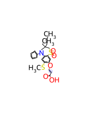 CCCCC1(CC)CN(c2ccccc2)c2cc(SC)c(O/C=C/C(=O)O)cc2S(=O)(=O)C1